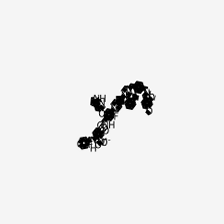 COc1ccc(CN(C)Cc2ccc(CN3CCN(C4CC5(CCN(c6cc(Oc7cnc8[nH]ccc8c7)c(CNS(=O)(=O)c7ccc(NCC8(F)CCOCC8)c([N+](=O)[O-])c7)cc6F)CC5)C4)[C@H](c4ccccc4C(C)C)C3)cc2)c(OC)c1